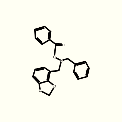 O=C(ON(Cc1ccccc1)Cc1cccc2c1OCO2)c1ccccc1